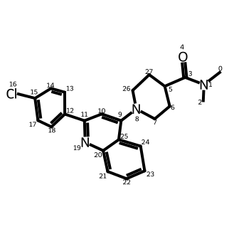 CN(C)C(=O)C1CCN(c2cc(-c3ccc(Cl)cc3)nc3ccccc23)CC1